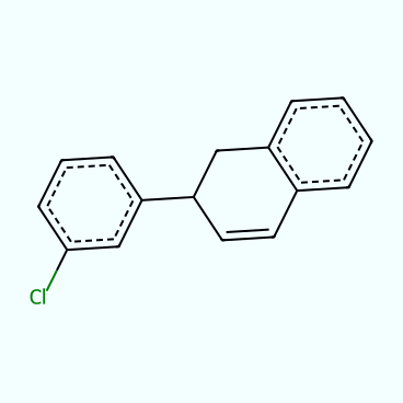 Clc1cccc(C2C=Cc3ccccc3C2)c1